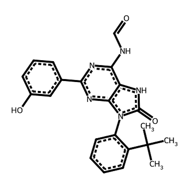 CC(C)(C)c1ccccc1-n1c(=O)[nH]c2c(NC=O)nc(-c3cccc(O)c3)nc21